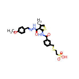 COc1ccc(C=NNC(=O)c2c(C)csc2NC(=O)c2cccc(CSCCS(=O)(=O)O)c2)cc1